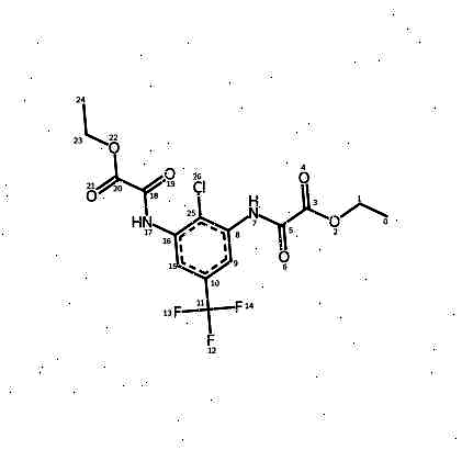 CCOC(=O)C(=O)Nc1cc(C(F)(F)F)cc(NC(=O)C(=O)OCC)c1Cl